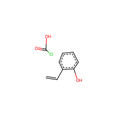 C=Cc1ccccc1O.O=C(O)Cl